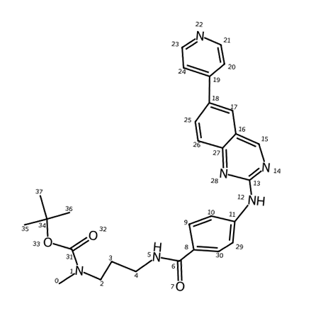 CN(CCCNC(=O)c1ccc(Nc2ncc3cc(-c4ccncc4)ccc3n2)cc1)C(=O)OC(C)(C)C